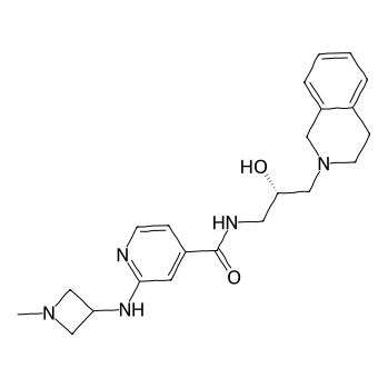 CN1CC(Nc2cc(C(=O)NC[C@H](O)CN3CCc4ccccc4C3)ccn2)C1